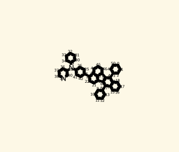 c1ccc(-c2c3c(c(-c4ccccc4)c4ccccc24)-c2ccc(-c4ccc(N(c5ccccc5)c5cccnc5)cc4)c4cccc-3c24)cc1